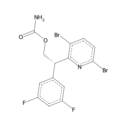 NC(=O)OC[C@@H](c1cc(F)cc(F)c1)c1nc(Br)ccc1Br